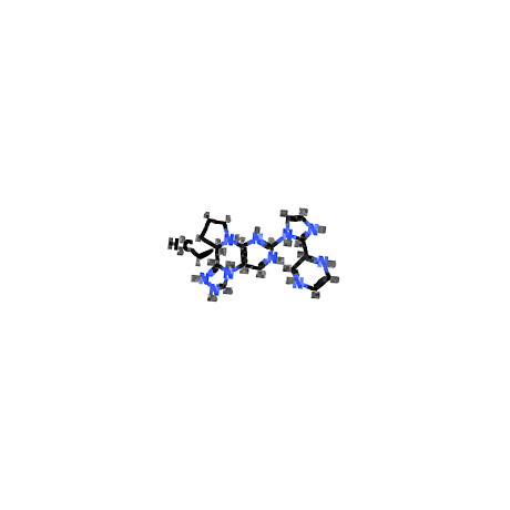 CC[C@@]12CCCN1c1nc(-n3ccnc3-c3cnccn3)ncc1-n1cnnc12